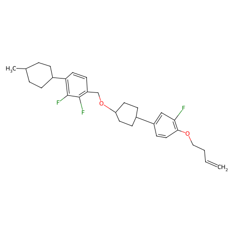 C=CCCOc1ccc(C2CCC(OCc3ccc(C4CCC(C)CC4)c(F)c3F)CC2)cc1F